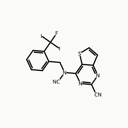 N#Cc1nc(N(C#N)Cc2ccccc2C(F)(I)I)c2sccc2n1